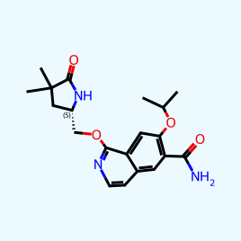 CC(C)Oc1cc2c(OC[C@@H]3CC(C)(C)C(=O)N3)nccc2cc1C(N)=O